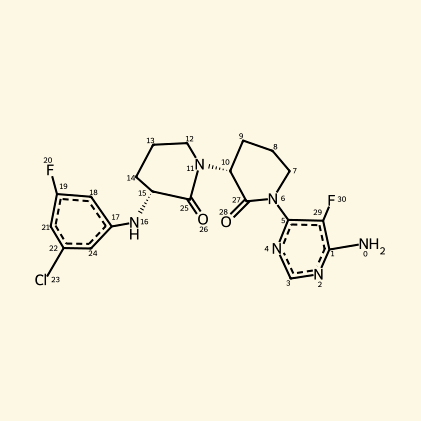 Nc1ncnc(N2CCC[C@@H](N3CCC[C@@H](Nc4cc(F)cc(Cl)c4)C3=O)C2=O)c1F